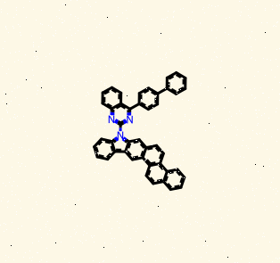 c1ccc(-c2ccc(-c3nc(-n4c5ccccc5c5cc6c(ccc7c8ccccc8ccc67)cc54)nc4ccccc34)cc2)cc1